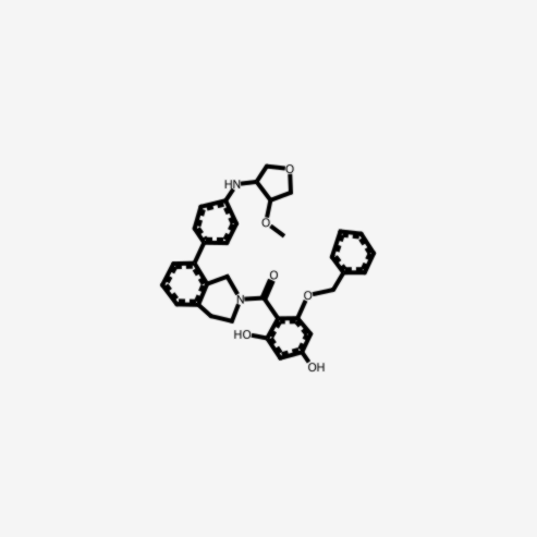 COC1COCC1Nc1ccc(-c2cccc3c2CN(C(=O)c2c(O)cc(O)cc2OCc2ccccc2)CC3)cc1